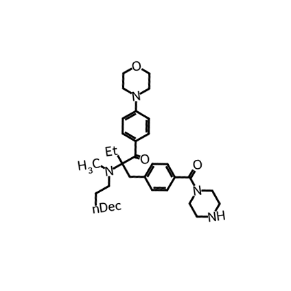 CCCCCCCCCCCCN(C)C(CC)(Cc1ccc(C(=O)N2CCNCC2)cc1)C(=O)c1ccc(N2CCOCC2)cc1